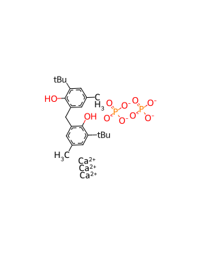 Cc1cc(Cc2cc(C)cc(C(C)(C)C)c2O)c(O)c(C(C)(C)C)c1.O=P([O-])([O-])[O-].O=P([O-])([O-])[O-].[Ca+2].[Ca+2].[Ca+2]